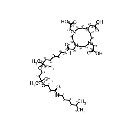 CC(C)CCCCNC(=O)CCOC(C)(C)CCOC(C)(C)CCOCCNC(=O)CN1CCN(CC(=O)O)CCN(CC(=O)O)CCN(CC(=O)O)CC1